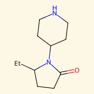 CCC1CCC(=O)N1C1CCNCC1